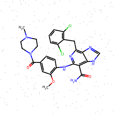 COc1cc(C(=O)N2CCN(C)CC2)ccc1Nc1nc(Cc2c(Cl)cccc2Cl)c2nc[nH]c2c1C(N)=O